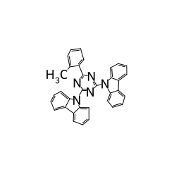 Cc1ccccc1-c1nc(-n2c3ccccc3c3ccccc32)nc(-n2c3ccccc3c3ccccc32)n1